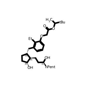 CCCCC[C@H](O)CC[C@@H]1[C@@H](Cc2cccc(OCC(=O)OC(C)C(C)(C)C)c2CC)CC[C@H]1O